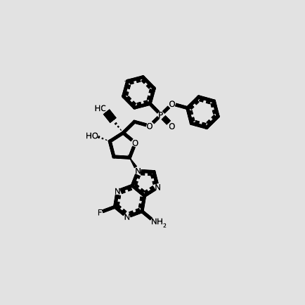 C#C[C@]1(COP(=O)(Oc2ccccc2)c2cc[c]cc2)O[C@@H](n2cnc3c(N)nc(F)nc32)C[C@@H]1O